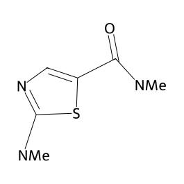 CNC(=O)c1cnc(NC)s1